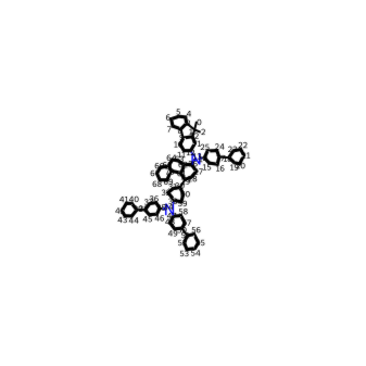 CC1(C)c2ccccc2-c2ccc(N(c3ccc(-c4ccccc4)cc3)c3ccc(-c4ccc(N(c5ccc(-c6ccccc6)cc5)c5ccc(-c6ccccc6)cc5)cc4)c4c3ccc3ccccc34)cc21